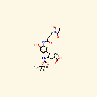 CC(C[C@H](Cc1ccc(O)c(NC(=O)CCCN2C(=O)C=CC2=O)c1)NC(=O)OC(C)(C)C)C(=O)O